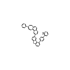 C1=Cc2c(ccc3ccc(-c4ccc5c(c4)-c4c(cccc4-c4ccc(-c6ccccn6)cc4)C5)cc23)C=CC=1c1ccccc1